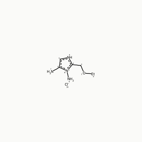 CCOCc1[nH]cc(N)[n+]1N.[Cl-]